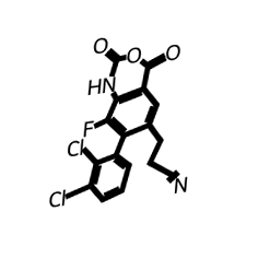 N#CCCc1cc2c(=O)oc(=O)[nH]c2c(F)c1-c1cccc(Cl)c1Cl